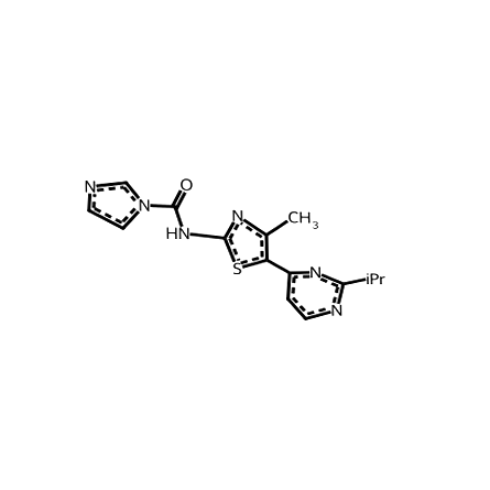 Cc1nc(NC(=O)n2ccnc2)sc1-c1ccnc(C(C)C)n1